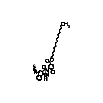 CCCCCCCCCCCCCCCCOC(=O)c1ccc(Cl)c(NC(=O)c2cc(N=C=S)c3ccccc3c2O)c1